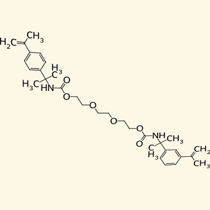 C=C(C)c1ccc(C(C)(C)NC(=O)OCCOCCOCCOC(=O)NC(C)(C)c2cccc(C(=C)C)c2)cc1